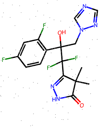 CC1(C)C(=O)NN=C1C(F)(F)C(O)(Cn1cncn1)c1ccc(F)cc1F